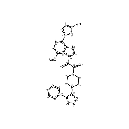 COc1cnc(-n2cnc(C)n2)c2[nH]cc(C(=O)C(=O)N3CCN(c4[nH]nnc4-c4ccccc4)CC3)c12